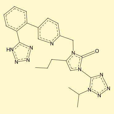 CCCc1cn(-c2nnnn2C(C)C)c(=O)n1Cc1ccc(-c2ccccc2-c2nnn[nH]2)cn1